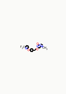 CN1CCn2c1cc(OCCc1ccc(Oc3cccc(C(F)(F)F)n3)cc1)nc2=O